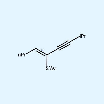 CCC/C=C(/C#CC(C)C)SC